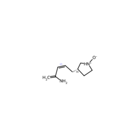 C=C(N)/C=C\C[C@H]1CC[NH+]([O-])C1